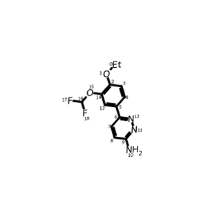 CCOc1ccc(-c2ccc(N)nn2)cc1OC(F)F